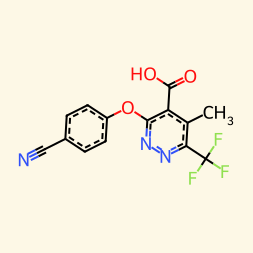 Cc1c(C(F)(F)F)nnc(Oc2ccc(C#N)cc2)c1C(=O)O